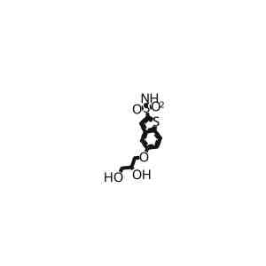 NS(=O)(=O)c1cc2cc(OCC(O)CO)ccc2s1